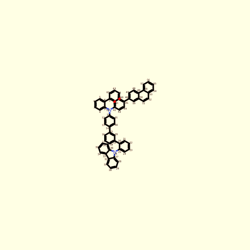 c1ccc(-c2ccccc2N(c2ccc(-c3cccc(-c4ccccc4-n4c5ccccc5c5ccccc54)c3)cc2)c2ccc(-c3ccc4c(ccc5ccccc54)c3)cc2)cc1